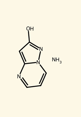 N.Oc1cc2ncccn2n1